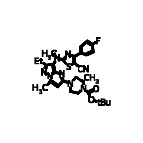 CCc1nn2c(C)cc(N3CCN(C(=O)OC(C)(C)C)[C@@H](C)C3)nc2c1N(C)c1nc(-c2ccc(F)cc2)c(C#N)s1